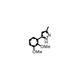 COc1cccc(-c2cc(C)n[nH]2)c1OC